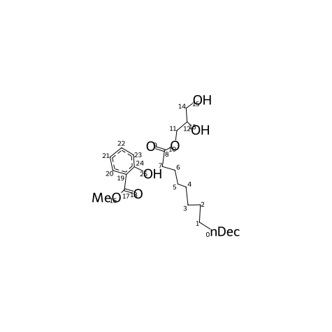 CCCCCCCCCCCCCCCCCC(=O)OCC(O)CO.COC(=O)c1ccccc1O